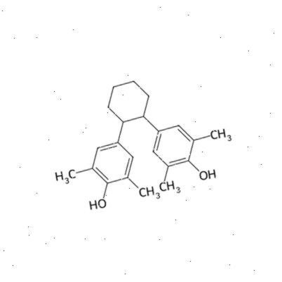 Cc1cc(C2CCCCC2c2cc(C)c(O)c(C)c2)cc(C)c1O